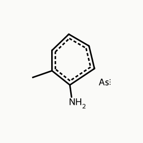 Cc1ccccc1N.[As]